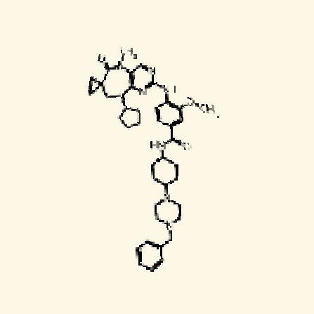 COc1cc(C(=O)NC2CCC(N3CCN(Cc4ccccc4)CC3)CC2)ccc1Nc1ncc2c(n1)N(C1CCCC1)CC1(CC1)C(=O)N2C